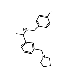 [CH2]c1ccc(CNC(C)c2cccc(CN3CCCC3)c2)cc1